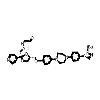 CCC(C)n1ncn1-c1ccc(N2CCN(c3ccc(OC[C@@H]4CO[C@@](CN/N=C\C=N)(c5ccncc5)O4)cc3)CC2)cc1